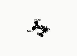 COc1ccc(CN(Cc2ccc(OC)cc2)C(=O)c2cc3n(n2)CCCN(c2nc(OC[C@@]45CCCN4C[C@H](F)C5)nc4c(F)c(Br)c(F)c(OC)c24)C3)cc1